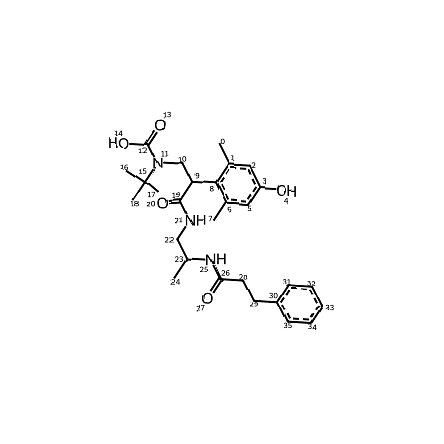 Cc1cc(O)cc(C)c1C(CN(C(=O)O)C(C)(C)C)C(=O)NCC(C)NC(=O)CCc1ccccc1